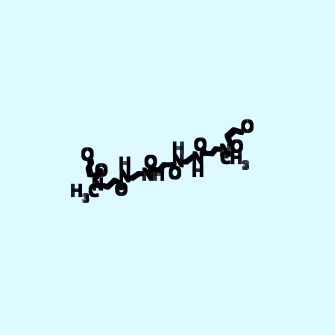 CN(CCC(=O)NCCNC(=O)CCC(=O)NCCNC(=O)CCN(C)C(=O)/C=C\C=O)C(=O)/C=C\C=O